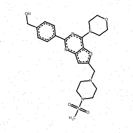 CS(=O)(=O)N1CCN(Cc2cc3nc(-c4ccc(CO)cc4)nc(N4CCOCC4)c3s2)CC1